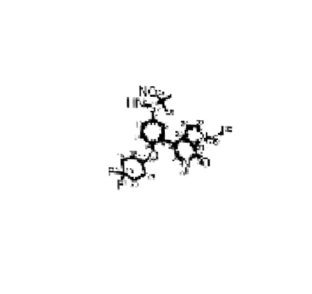 Cn1cc(-c2cc(S(=N)C(C)(C)C#N)ccc2OC2CCC(F)(F)CC2)c2ccn(SI)c2c1=O